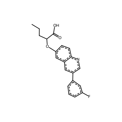 CCCC(Oc1ccc2ncc(-c3cccc(F)c3)cc2c1)C(=O)O